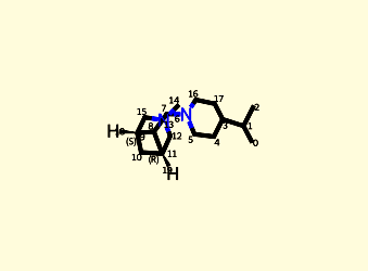 CC(C)C1CCN(CC2[C@@H]3C[C@H]2CN(C)C3)CC1